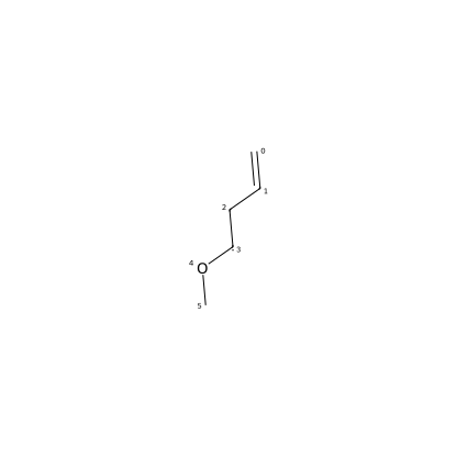 C=CC[CH]OC